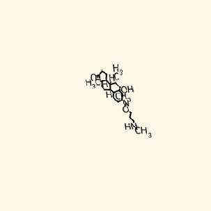 CNCCCON=C1CC[C@]2(C)[C@H]3CC[C@]4(C)C(=O)CC[C@H]4[C@@H]3[C@H](C)C[C@@]2(O)C1